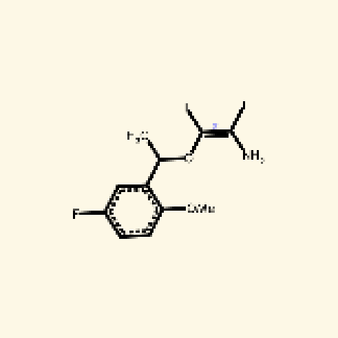 COc1ccc(F)cc1C(C)O/C(I)=C(\N)I